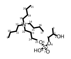 CC(O)COS(=O)(=O)O.CCCC[N+](CCCC)(CCCC)CCCC